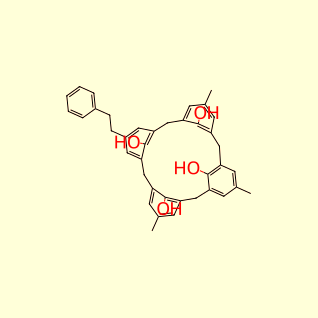 Cc1cc2c(O)c(c1)Cc1cc(C)cc(c1O)Cc1cc(CCc3ccccc3)cc(c1O)Cc1cc(C)cc(c1O)C2